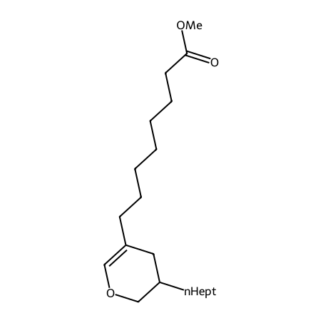 CCCCCCCC1COC=C(CCCCCCCC(=O)OC)C1